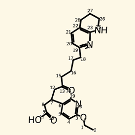 CCOc1ccc(C(CC(=O)O)CC(=O)CCCCc2ccc3c(n2)NCCC3)cn1